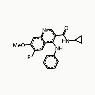 COc1cc2ncc(C(=O)NC3CC3)c(Nc3ccccc3)c2cc1C(C)C